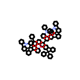 c1ccc(-c2ccc(-c3ccccc3N(c3ccc4c(c3)C(c3ccccc3)(c3ccccc3)c3ccccc3-4)c3ccccc3-c3ccc4c(c3)C3(c5ccccc5-4)c4ccccc4-n4c5ccccc5c5cccc3c54)c(-c3cccc(-c4ccc(-c5ccccc5N(c5ccccc5)c5ccccc5-c5ccc6c(c5)C5(c7ccccc7-6)c6ccccc6-n6c7ccccc7c7cccc5c76)cc4)c3)c2)cc1